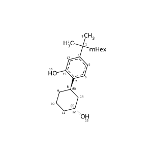 CCCCCCC(C)(C)c1ccc([C@@H]2CCC[C@@H](O)C2)c(O)c1